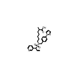 C=CC(c1cccnc1)S(=O)(=O)N(CCCCCC(C)C(=O)O)Cc1ccc(-n2cccn2)cc1